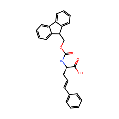 O=C(N[C@H](CC=Cc1ccccc1)C(=O)O)OCC1c2ccccc2-c2ccccc21